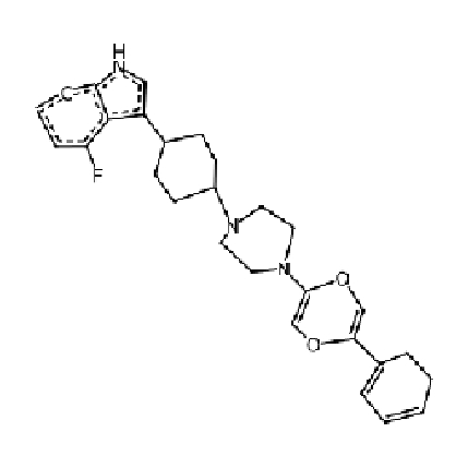 Fc1cccc2[nH]cc(C3CCC(N4CCN(C5=COC(C6=CC=CCC6)=CO5)CC4)CC3)c12